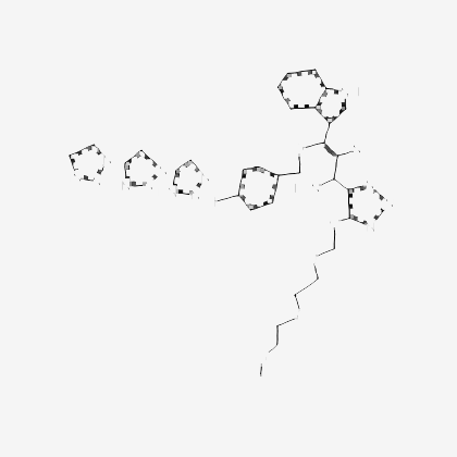 CCOCCOCCOCOc1[nH]nnc1C(N)C(N)=C(OCc1ccc(Cl)cc1)c1c[nH]c2ccccc12.c1c[nH]nn1.c1c[nH]nn1.c1c[nH]nn1